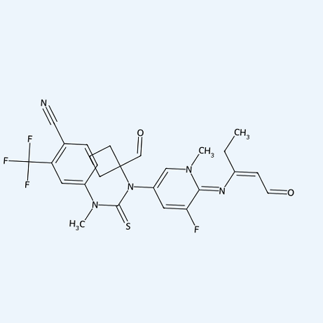 CCC(=C/C=O)/N=c1/c(F)cc(N(C(=S)N(C)c2ccc(C#N)c(C(F)(F)F)c2)C2(C=O)CCC2)cn1C